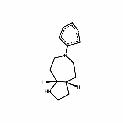 c1cncc(N2CC[C@@H]3CCN[C@@H]3CC2)c1